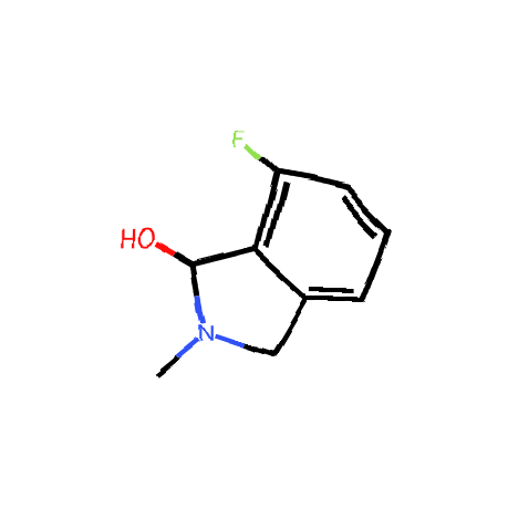 CN1Cc2cccc(F)c2C1O